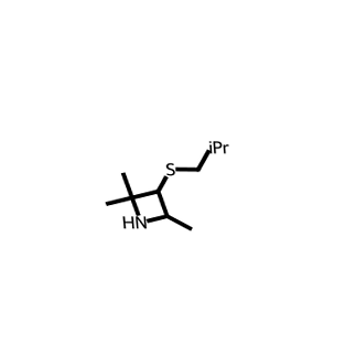 CC(C)CSC1C(C)NC1(C)C